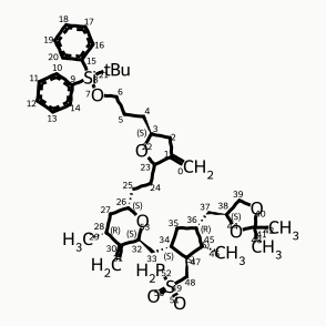 C=C1C[C@H](CCCO[Si](c2ccccc2)(c2ccccc2)C(C)(C)C)OC1CC[C@H]1C[C@@H](C)C(=C)[C@H](C[C@@H]2C[C@H](C[C@H]3COC(C)(C)O3)[C@H](C)[C@H]2CS(=O)(=O)P)O1